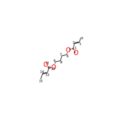 CC=CC(=O)OCCCCOC(=O)C=CC